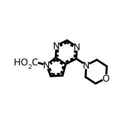 O=C(O)n1ccc2c(N3CCOCC3)ncnc21